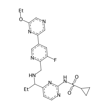 CCOc1cncc(-c2cnc(CNC(CC)c3ccnc(NS(=O)(=O)C4CC4)n3)c(F)c2)n1